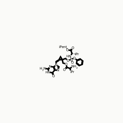 CCC[C@H](C)OC(=O)[C@@H](N[P@](=O)(OCC1(COC(=O)C(N)C(C)C)C/C1=C/n1cnc2c(=O)[nH]c(N)nc21)Oc1ccccc1)C(C)C